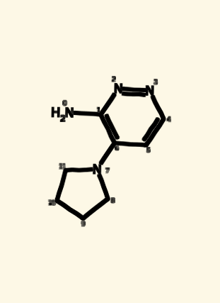 Nc1nnccc1N1CCCC1